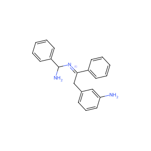 Nc1cccc(C/C(=N\C(N)c2ccccc2)c2ccccc2)c1